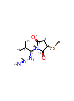 CSC1CC(=O)N(C(N=[N+]=[N-])C(C)C)C1=O